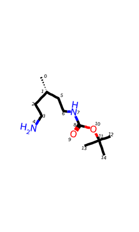 C[C@@H](CCN)CCNC(=O)OC(C)(C)C